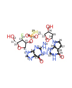 Nc1nc2c(ncn2[C@@H]2O[C@H](CO)[C@@H](F)C2OP(=O)(S)OC[C@H]2O[C@@H](n3ccc4c(=O)[nH]cnc43)C[C@@H]2O)c(=O)[nH]1